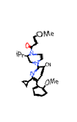 COCCC(=O)N1CCN(c2nc(C3CC3)c(-c3ccccc3OC)cc2C#N)C[C@H]1C(C)C